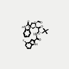 CC(C)(C)C[C@H](NC(=O)c1cc2c(F)cccc2[nH]1)C(=O)N1C[C@]2(C[C@H]1C=O)C(=O)Nc1ccccc12